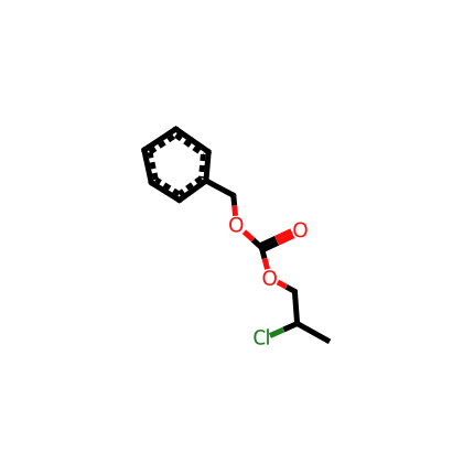 CC(Cl)COC(=O)OCc1ccccc1